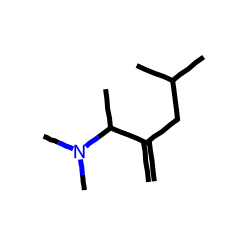 C=C(CC(C)C)C(C)N(C)C